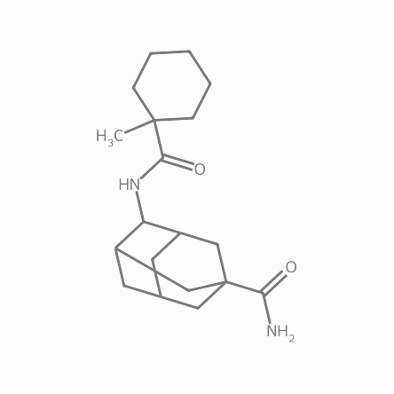 CC1(C(=O)NC2C3CC4CC2CC(C(N)=O)(C4)C3)CCCCC1